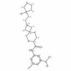 O=C(Nc1cc(F)cc(C(F)F)c1)C1CCC2(CC1)CN(CCC1(F)CCCC1)C2